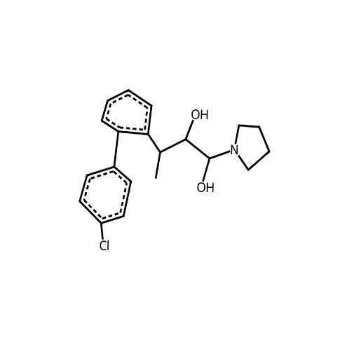 CC(c1ccccc1-c1ccc(Cl)cc1)C(O)C(O)N1CCCC1